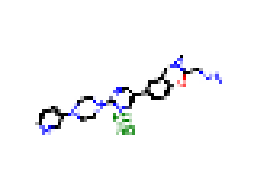 CN(Cc1cccc(-c2cnc(N3CCN(c4cccnc4)CC3)nc2)c1)C(=O)CN.Cl.Cl.Cl